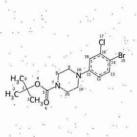 CC(C)(C)OC(=O)N1CCN(c2ccc(Br)c(Cl)c2)CC1